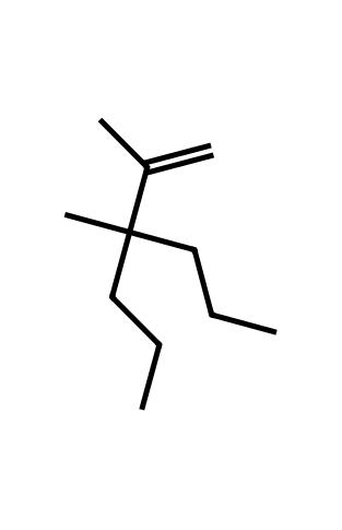 C=C(C)C(C)(CCC)CCC